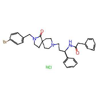 Cl.O=C(Cc1ccccc1)NC(CCN1CCC2(CC1)CCN(Cc1ccc(Br)cc1)C2=O)c1ccccc1